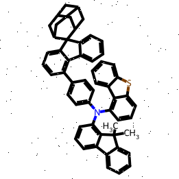 CC1(C)c2ccccc2-c2cccc(N(c3ccc(-c4cccc5c4-c4ccccc4C54C5CC6CC(C5)CC4C6)cc3)c3cccc4sc5ccccc5c34)c21